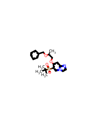 C[C@@H](COc1cc2nccn2cc1S(=O)(=O)C(C)(C)C)OCc1ccccc1